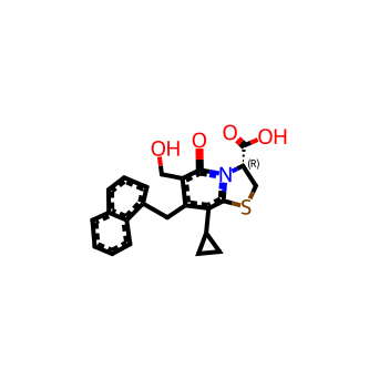 O=C(O)[C@@H]1CSc2c(C3CC3)c(Cc3cccc4ccccc34)c(CO)c(=O)n21